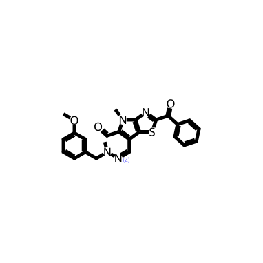 COc1cccc(CN(C)/N=C\c2c(C=O)n(C)c3nc(C(=O)c4ccccc4)sc23)c1